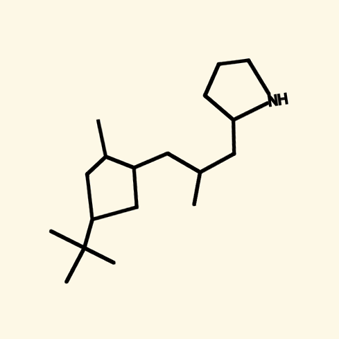 CC(CC1CCCN1)CC1CC(C(C)(C)C)CC1C